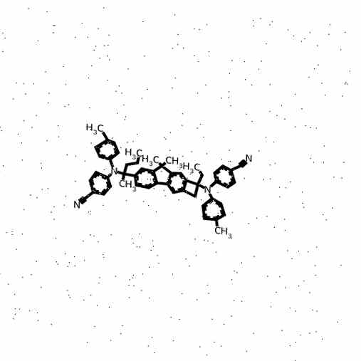 CCCC(C)(c1ccc2c(c1)C(C)(C)c1cc3c(cc1-2)CC3(CC)N(c1ccc(C)cc1)c1ccc(C#N)cc1)N(c1ccc(C)cc1)c1ccc(C#N)cc1